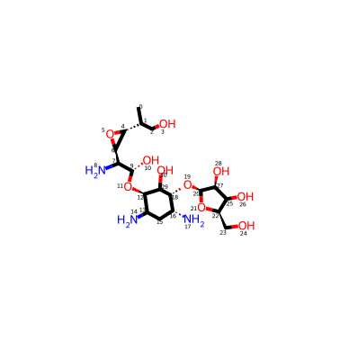 CC(CO)[C@H]1O[C@@H]1C(N)[C@H](O)O[C@@H]1C(N)C[C@@H](N)[C@@H](O[C@@H]2O[C@H](CO)C(O)[C@@H]2O)C1O